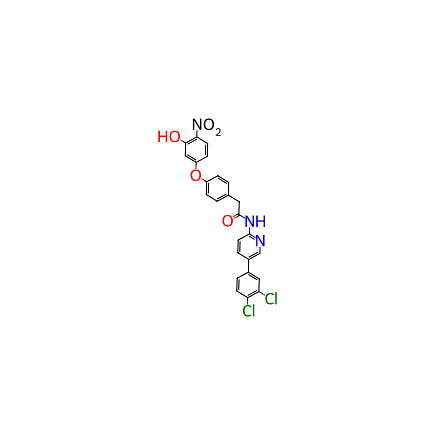 O=C(Cc1ccc(Oc2ccc([N+](=O)[O-])c(O)c2)cc1)Nc1ccc(-c2ccc(Cl)c(Cl)c2)cn1